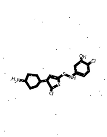 NC1CCC(C2C=C(SNC3=CCC(Cl)C(O)C3)SC2Cl)CC1